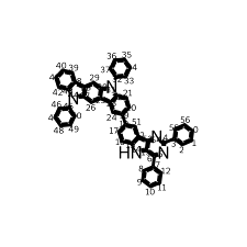 c1ccc(-c2nc(-c3ccccc3)c3[nH]c4ccc(-c5ccc6c(c5)c5cc7c(cc5n6-c5ccccc5)c5ccccc5n7-c5ccccc5)cc4c3n2)cc1